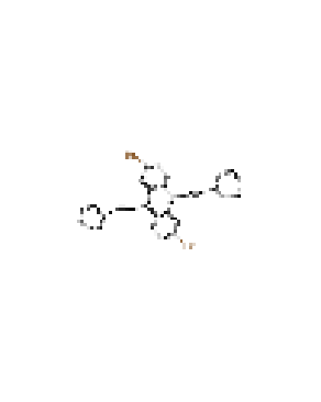 Brc1ccc2c(C#Cc3ccccc3)c3cc(Br)ccc3c(C#Cc3ccccc3)c2c1